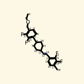 CCOCc1ccc(C2CCC(/C=C/c3ccc(C)c(F)c3F)CC2)c(F)c1F